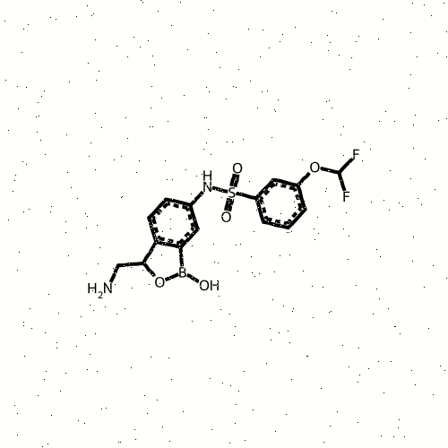 NCC1OB(O)c2cc(NS(=O)(=O)c3cccc(OC(F)F)c3)ccc21